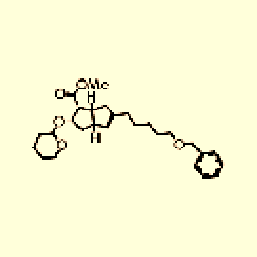 COC(=O)[C@H]1[C@@H]2CC(CCCCCOCc3ccccc3)=C[C@@H]2C[C@@H]1OC1CCCCO1